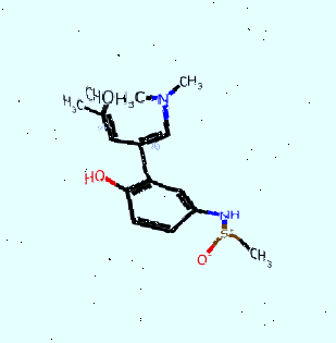 C/C(C=O)=C/C(=C\N(C)C)c1cc(N[S+](C)[O-])ccc1O